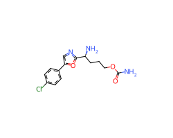 NC(=O)OCCC[C@H](N)c1ncc(-c2ccc(Cl)cc2)o1